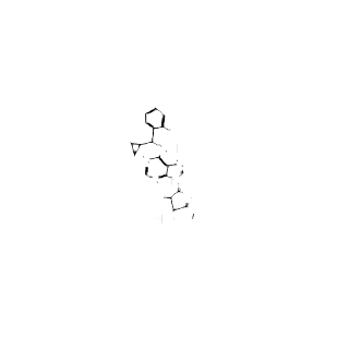 Cc1ccccc1C(Nc1ncnc2c1ncn2[C@@H]1O[C@H](CO)C(O)C1O)C1CC1